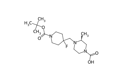 C[C@H]1CN(C(=O)O)CCN1CC1(F)CCN(C(=O)OC(C)(C)C)CC1